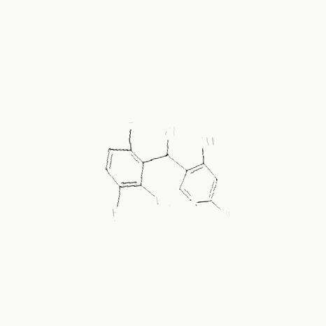 Cc1cc(Br)ncc1C(Cl)c1c(F)ccc(F)c1F